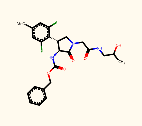 COc1cc(F)c([C@@H]2CN(CC(=O)NCC(C)O)C(=O)[C@H]2NC(=O)OCc2ccccc2)c(F)c1